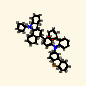 c1ccc(-c2ccccc2N(c2ccc(-c3cc4c5ccccc5n(-c5ccccc5)c4c4ccccc34)cc2)c2ccc3sc4ccccc4c3c2)cc1